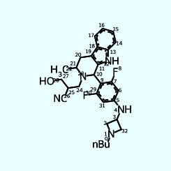 CCCCN1CC(Nc2cc(F)c(C3c4[nH]c5ccccc5c4CC(C)N3CC(C#N)CO)c(F)c2)C1